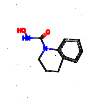 O=C(NO)N1CCCc2ccccc21